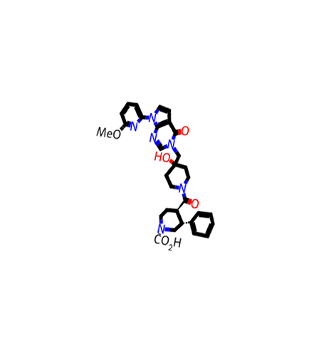 COc1cccc(-n2ccc3c(=O)n(CC4(O)CCN(C(=O)[C@@H]5CCN(C(=O)O)C[C@H]5c5ccccc5)CC4)cnc32)n1